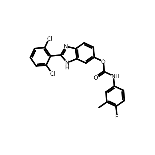 Cc1cc(NC(=O)Oc2ccc3nc(-c4c(Cl)cccc4Cl)[nH]c3c2)ccc1F